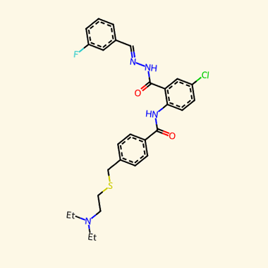 CCN(CC)CCSCc1ccc(C(=O)Nc2ccc(Cl)cc2C(=O)N/N=C/c2cccc(F)c2)cc1